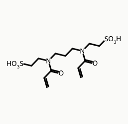 C=CC(=O)N(CCCN(CCS(=O)(=O)O)C(=O)C=C)CCS(=O)(=O)O